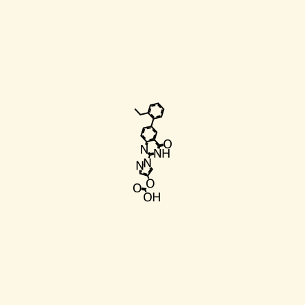 CCc1ccccc1-c1ccc2nc(-n3cc(OC(=O)O)cn3)[nH]c(=O)c2c1